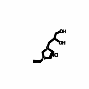 C=CN1C=CN(CC(O)CO)C1.Cl